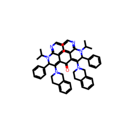 CC(C)N1c2ncccc2C(C(=O)C2=C(N3CCc4ccccc4C3)C(c3ccccc3)N(C(C)C)c3ncccc32)=C(N2CCc3ccccc3C2)C1c1ccccc1